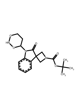 CC(C)(C)OC(=O)N1CC2(C1)C(=O)N(C1CCONO1)c1ccccc12